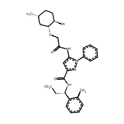 Cc1ccccc1[C@H](CC(=O)O)NC(=O)c1cc(NC(=O)CO[C@@H]2C[C@H](C)CC[C@H]2C(C)C)n(-c2ccccc2)n1